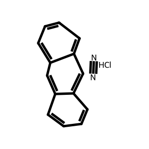 Cl.N#N.c1ccc2cc3ccccc3cc2c1